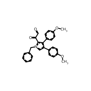 COc1ccc(-c2cn(Cc3ccccc3)c(C(=O)C=O)c2-c2ccc(OC)cc2)cc1